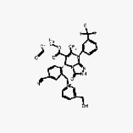 COC(=O)C1=C(C)N(c2cccc(C(F)(F)F)c2)c2n[nH]c(=O)n2[C@@H]1c1ccc(C#N)cc1C[n+]1cccc(CO)c1.O=C[O-]